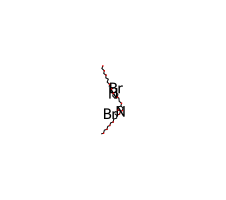 CCCCCCCCCCC(Br)CN1CCC(CCCC2CCN(CC(Br)CCCCCCCCCC)CC2)CC1